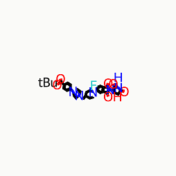 CC(C)(C)OC(=O)c1ccc(N2CCN(CC3CCN(c4cc5c(cc4F)C(=O)N(C4CCC(=O)NC4=O)C5O)CC3)CC2)cc1